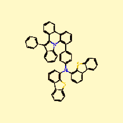 c1ccc(-c2c3ccccc3n3c4c(-c5ccc(N(c6cccc7c6sc6ccccc67)c6cccc7c6sc6ccccc67)cc5)cccc4c4ccccc4c23)cc1